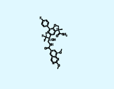 COc1ncc2cc(C(=O)NC[C@](O)(c3cc4c(c(-c5ccc(F)cc5)n3)OC[C@]4(C)C(N)=O)C(F)(F)F)cc(OC)c2n1